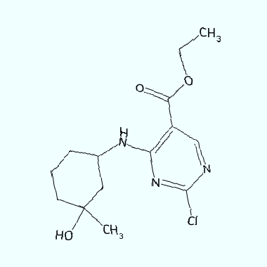 CCOC(=O)c1cnc(Cl)nc1NC1CCCC(C)(O)C1